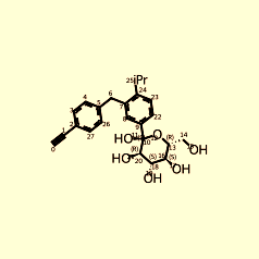 C#Cc1ccc(Cc2cc([C@]3(O)O[C@H](CO)[C@@H](O)[C@H](O)[C@H]3O)ccc2C(C)C)cc1